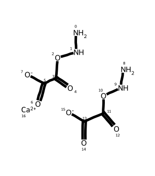 NNOC(=O)C(=O)[O-].NNOC(=O)C(=O)[O-].[Ca+2]